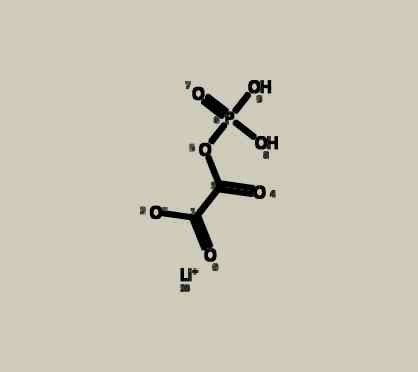 O=C([O-])C(=O)OP(=O)(O)O.[Li+]